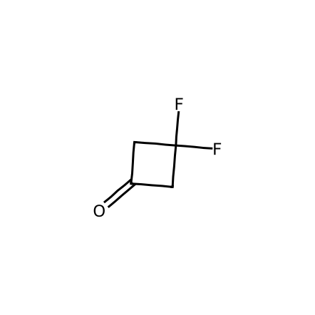 O=C1CC(F)(F)C1